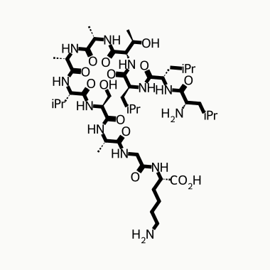 CC(C)C[C@H](NC(=O)[C@H](CC(C)C)NC(=O)[C@@H](N)CC(C)C)C(=O)N[C@H](C(=O)N[C@@H](C)C(=O)N[C@@H](C)C(=O)N[C@H](C(=O)N[C@@H](CO)C(=O)N[C@@H](C)C(=O)NCC(=O)N[C@@H](CCCCN)C(=O)O)C(C)C)[C@@H](C)O